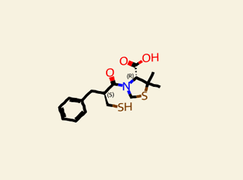 CC1(C)SCN(C(=O)[C@@H](CS)Cc2ccccc2)[C@@H]1C(=O)O